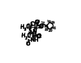 CC1(C)SC2(C)[C@H](NC=O)C(=O)N2[C@H]1C(=O)OCc1ccccc1